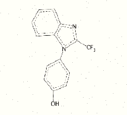 Oc1ccc(-n2c(C(F)(F)F)nc3ccccc32)cc1